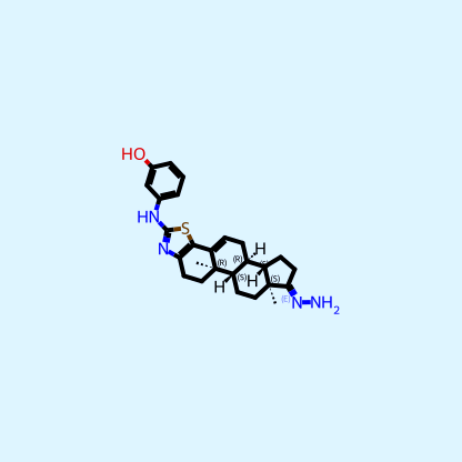 C[C@]12CCc3nc(Nc4cccc(O)c4)sc3C1=CC[C@@H]1[C@@H]2CC[C@]2(C)/C(=N/N)CC[C@@H]12